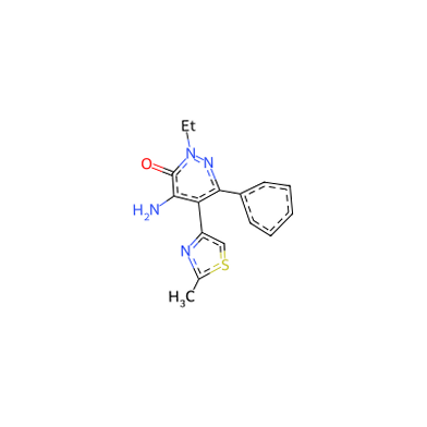 CCn1nc(-c2ccccc2)c(-c2csc(C)n2)c(N)c1=O